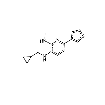 CNc1nc(-c2ccsc2)ccc1NCC1CC1